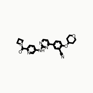 N#Cc1cc(-c2ccnc(Nc3ccc(C(=O)N4CCC4)nc3)n2)ccc1OC1CCOCC1